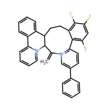 C=C1C2C(CCc3c(F)c(F)cc(F)c3-c3ccc(-c4ccccc4)c[n+]31)c1ccccc1-c1cccc[n+]12